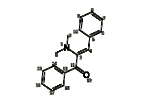 CN(C)C(=Cc1ccccc1)C(=O)c1ccccc1